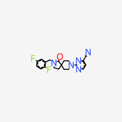 N#Cc1ccnc(N2CCC3(CCN(Cc4cc(F)ccc4F)C3=O)CC2)n1